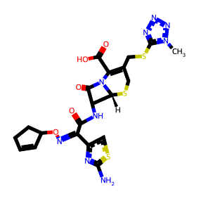 Cn1nnnc1SCC1=C(C(=O)O)N2C(=O)C(NC(=O)/C(=N\OC3C=CCC3)c3csc(N)n3)[C@H]2SC1